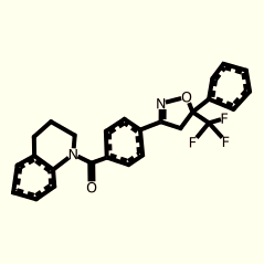 O=C(c1ccc(C2=NOC(c3ccccc3)(C(F)(F)F)C2)cc1)N1CCCc2ccccc21